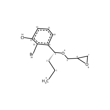 CCC[C@@H](OCC1CO1)c1cccc(Cl)c1Br